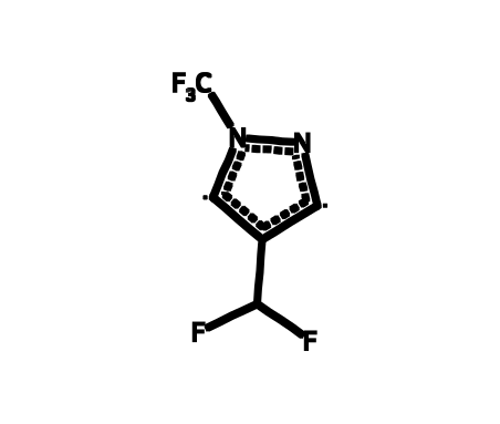 FC(F)c1[c]nn(C(F)(F)F)[c]1